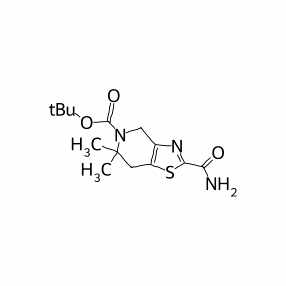 CC(C)(C)OC(=O)N1Cc2nc(C(N)=O)sc2CC1(C)C